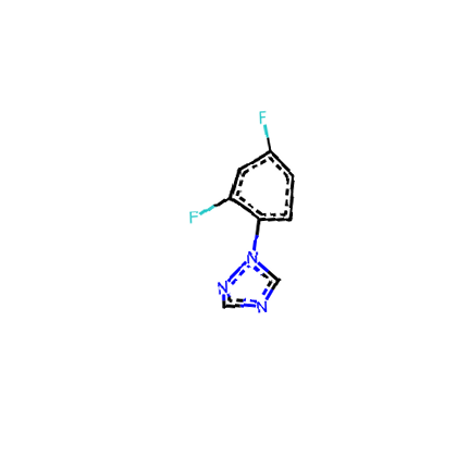 Fc1ccc(-n2cncn2)c(F)c1